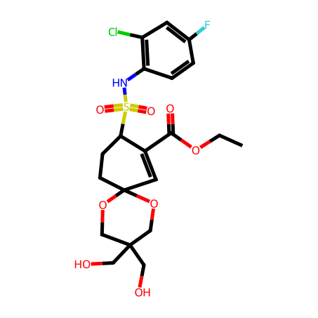 CCOC(=O)C1=CC2(CCC1S(=O)(=O)Nc1ccc(F)cc1Cl)OCC(CO)(CO)CO2